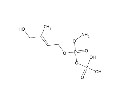 C/C(=C\COP(=O)(ON)OP(=O)(O)O)CO